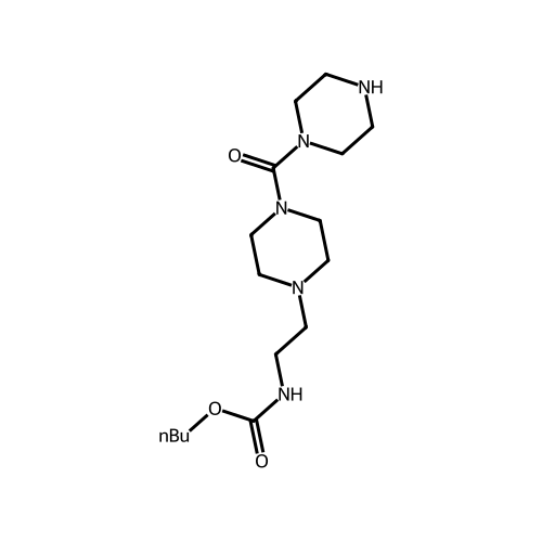 CCCCOC(=O)NCCN1CCN(C(=O)N2CCNCC2)CC1